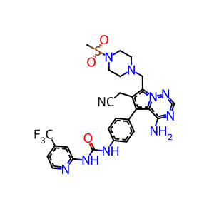 CS(=O)(=O)N1CCN(Cc2c(CC#N)c(-c3ccc(NC(=O)Nc4cc(C(F)(F)F)ccn4)cc3)c3c(N)ncnn23)CC1